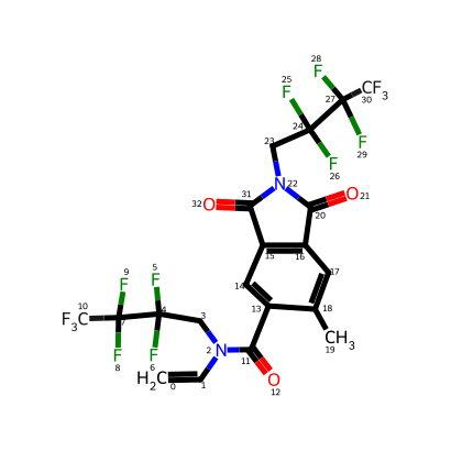 C=CN(CC(F)(F)C(F)(F)C(F)(F)F)C(=O)c1cc2c(cc1C)C(=O)N(CC(F)(F)C(F)(F)C(F)(F)F)C2=O